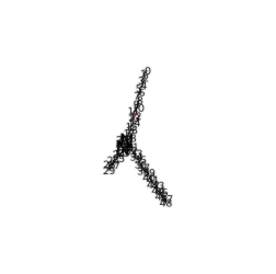 CCCCCCCCCCCCCCCCCCCN1C=CN(CCCCCCC)C1CCCCCCCCCCCCCCCCCC